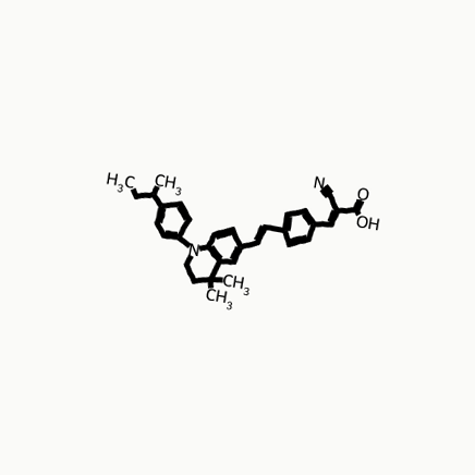 CCC(C)c1ccc(N2CCC(C)(C)c3cc(/C=C/c4ccc(/C=C(\C#N)C(=O)O)cc4)ccc32)cc1